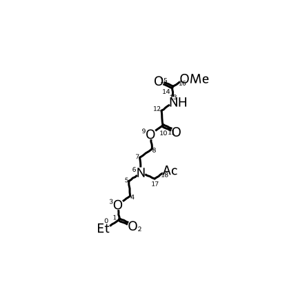 CCC(=O)OCCN(CCOC(=O)CNC(=O)OC)CC(C)=O